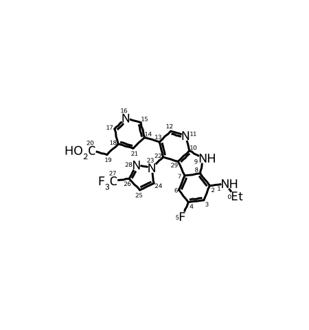 CCNc1cc(F)cc2c1[nH]c1ncc(-c3cncc(CC(=O)O)c3)c(-n3ccc(C(F)(F)F)n3)c12